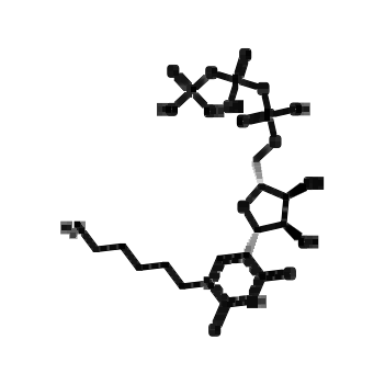 NCCCCCn1cc([C@@H]2O[C@H](COP(=O)(O)OP(=O)(O)OP(=O)(O)O)[C@@H](O)[C@H]2O)c(=O)[nH]c1=O